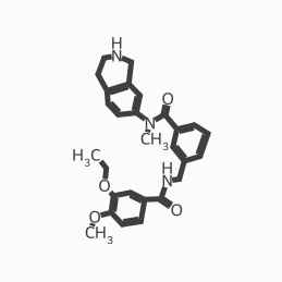 CCOc1cc(C(=O)NCc2cccc(C(=O)N(C)c3ccc4c(c3)CNCC4)c2)ccc1OC